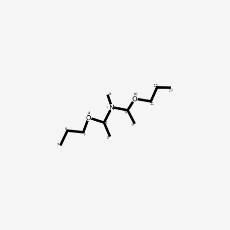 [CH2]N(C(C)OCCC)C(C)OCCC